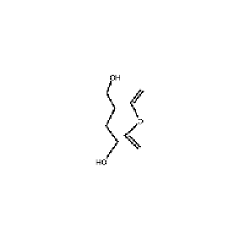 C=COC=C.OCCCCO